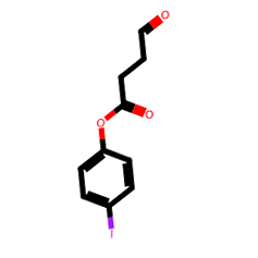 O=CCCC(=O)Oc1ccc(I)cc1